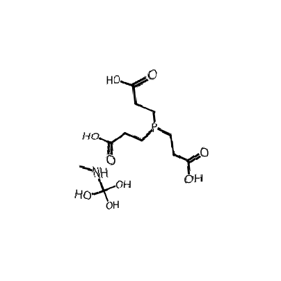 CNC(O)(O)O.O=C(O)CCP(CCC(=O)O)CCC(=O)O